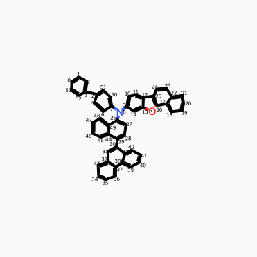 c1ccc(-c2ccc(N(c3ccc4c(c3)oc3c5ccccc5ccc43)c3ccc(-c4cc5ccccc5c5ccccc45)c4ccccc34)cc2)cc1